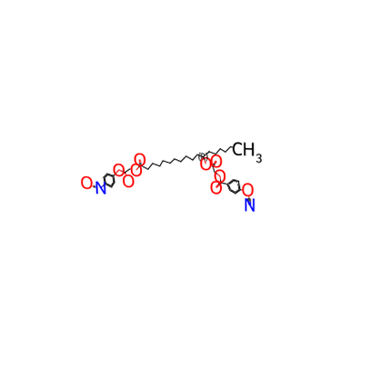 CCCCCC[C@H](CCCCCCCCCCC(=O)OCC(=O)Oc1ccc(N=C=O)cc1)OC(=O)COC(=O)c1ccc(OC#N)cc1